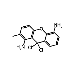 Cc1ccc2c(c1N)C(Cl)(Cl)c1cccc(N)c1O2